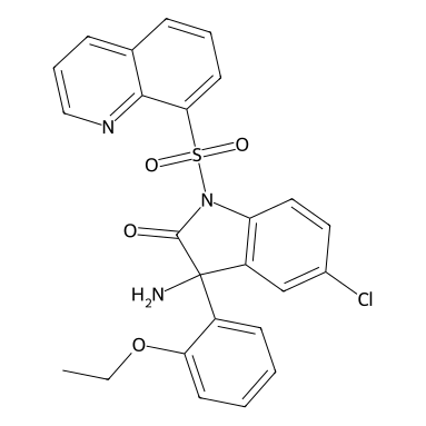 CCOc1ccccc1C1(N)C(=O)N(S(=O)(=O)c2cccc3cccnc23)c2ccc(Cl)cc21